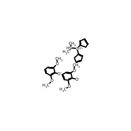 COc1cccc(OC)c1[O-].COc1cccc(OC)c1[O-].C[SiH](C)[Zr+2]([C]1=CC=CC1)[C]1=CC=CC1